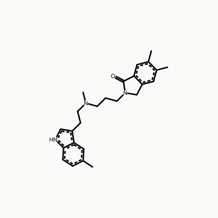 Cc1ccc2[nH]cc(CCN(C)CCCN3Cc4cc(C)c(C)cc4C3=O)c2c1